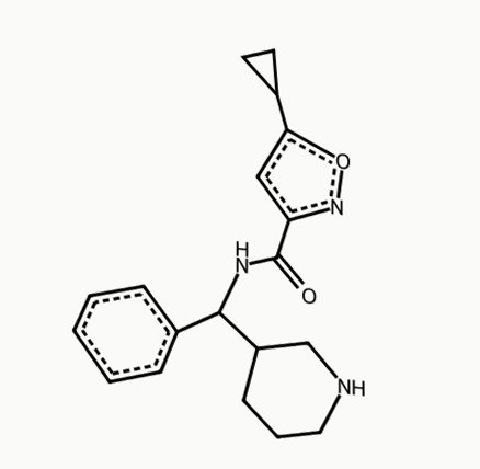 O=C(NC(c1ccccc1)C1CCCNC1)c1cc(C2CC2)on1